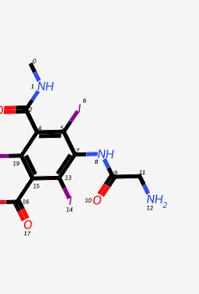 CNC(=O)c1c(I)c(NC(=O)CN)c(I)c(C(=O)O)c1I